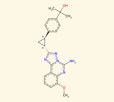 COc1cccc2c1nc(N)n1nc([C@@H]3C[C@H]3c3ccc(C(C)(C)O)cc3)nc21